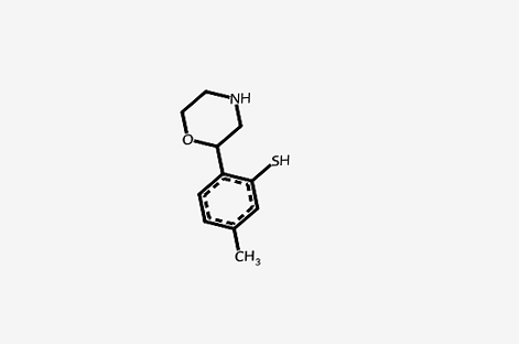 Cc1ccc(C2CNCCO2)c(S)c1